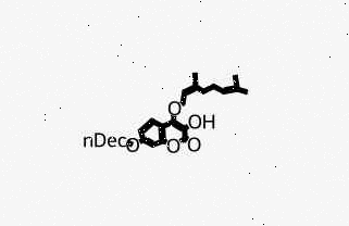 CCCCCCCCCCOc1ccc2c(OCC=C(C)CCC=C(C)C)c(O)c(=O)oc2c1